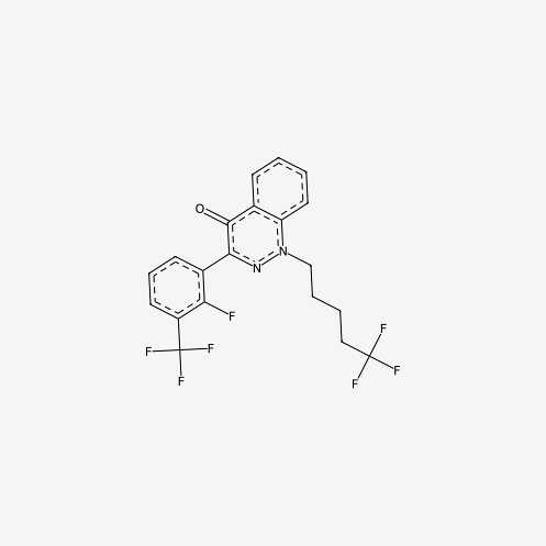 O=c1c(-c2cccc(C(F)(F)F)c2F)nn(CCCCC(F)(F)F)c2ccccc12